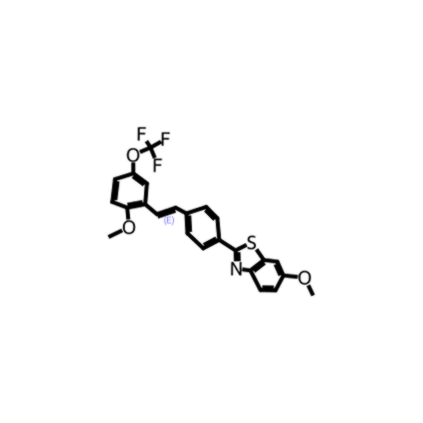 COc1ccc2nc(-c3ccc(/C=C/c4cc(OC(F)(F)F)ccc4OC)cc3)sc2c1